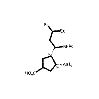 CCC(CC)CC(NC(C)=O)[C@H]1CC(C(=O)O)C[C@H]1N